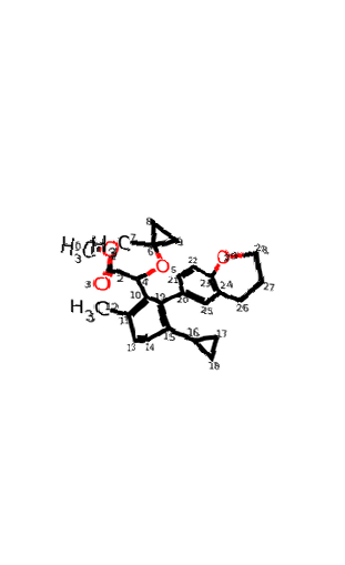 COC(=O)C(OC1(C)CC1)c1c(C)ccc(C2CC2)c1-c1ccc2c(c1)CCCO2